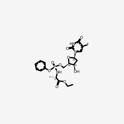 CCOC(=O)[C@H](C)NP(=O)(OC[C@H]1O[C@@H](n2cc(F)c(=O)[nH]c2=O)C[C@H]1O)Oc1ccccc1